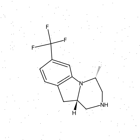 C[C@@H]1CNC[C@@H]2Cc3ccc(C(F)(F)F)cc3N21